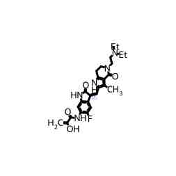 C=C(O)C(=O)Nc1cc2c(cc1F)/C(=C/c1[nH]c3c(c1C)C(=O)N(CCN(CC)CC)CC3)C(=O)N2